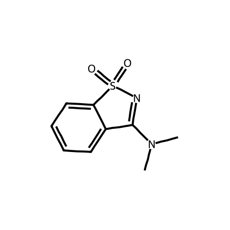 CN(C)C1=NS(=O)(=O)c2ccccc21